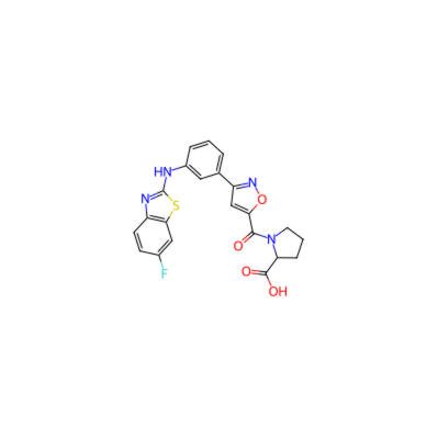 O=C(O)C1CCCN1C(=O)c1cc(-c2cccc(Nc3nc4ccc(F)cc4s3)c2)no1